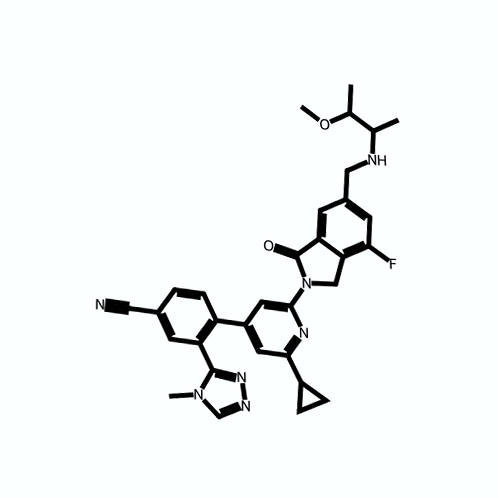 COC(C)C(C)NCc1cc(F)c2c(c1)C(=O)N(c1cc(-c3ccc(C#N)cc3-c3nncn3C)cc(C3CC3)n1)C2